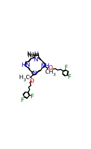 CC(OCCCCc1ccc(F)cc1F)C1=Cc2cc3[nH]c(cc4nc(cc5ccc(cc1n2)[nH]5)C=C4)cc3C(C)OCCCCc1ccc(F)cc1F.[NaH].[NaH]